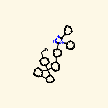 CC(C)Cc1ccc(C2(c3cccc(-c4ccc(-c5nnc(-c6ccccc6)n5-c5ccccc5)cc4)c3)c3ccccc3-c3ccccc32)cc1